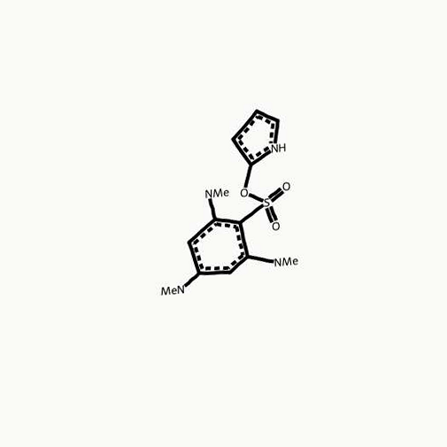 CNc1cc(NC)c(S(=O)(=O)Oc2ccc[nH]2)c(NC)c1